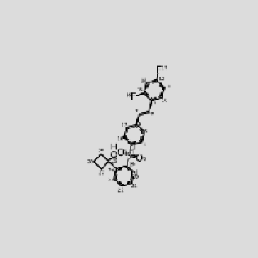 O=S(=O)(c1ccc(/C=C/c2ccc(F)cc2F)cc1)c1ncccc1C1(O)CCC1